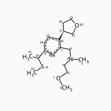 COCCN(C)Cc1nc(C(C)SC)ccc1[C@H]1CCOC1